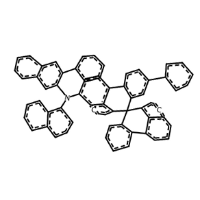 c1ccc(-c2ccc3c(c2)C2(c4ccccc4-c4cccc5cccc2c45)c2cccc4c(N(c5cc6ccccc6cc5-c5ccccc5)c5cccc6ccccc56)ccc-3c24)cc1